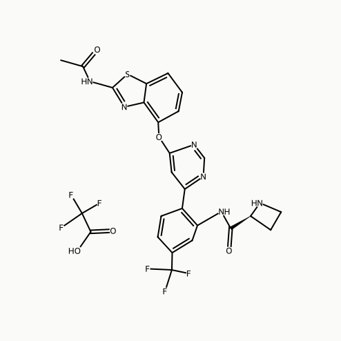 CC(=O)Nc1nc2c(Oc3cc(-c4ccc(C(F)(F)F)cc4NC(=O)[C@@H]4CCN4)ncn3)cccc2s1.O=C(O)C(F)(F)F